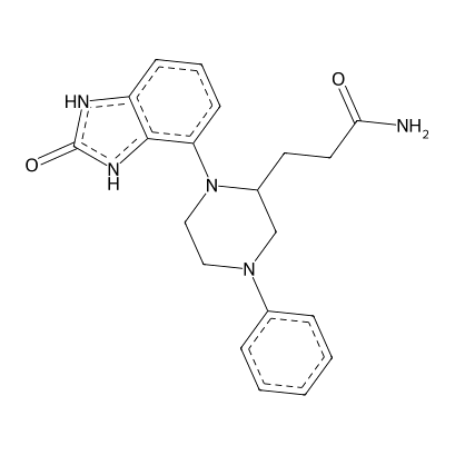 NC(=O)CCC1CN(c2ccccc2)CCN1c1cccc2[nH]c(=O)[nH]c12